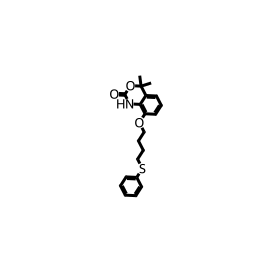 CC1(C)OC(=O)Nc2c(OCCCCSc3ccccc3)cccc21